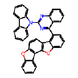 c1ccc2c(-c3cccc4oc5c(ccc6oc7ccccc7c65)c34)nc(-n3c4ccccc4c4ccccc43)nc2c1